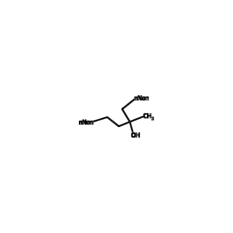 CCCCCCCCCCCC(C)(O)CCCCCCCCCC